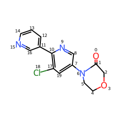 O=C1COCCN1c1cnc(-c2cccnc2)c(Cl)c1